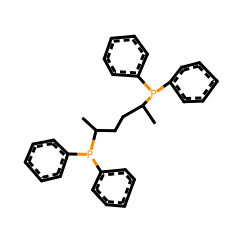 CC(CCC(C)P(c1ccccc1)c1ccccc1)P(c1ccccc1)c1ccccc1